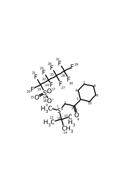 C[S+](CC(=O)C1CCCCC1)C(C)(C)C.O=S(=O)([O-])C(F)(F)C(F)(F)C(F)(F)C(F)(F)F